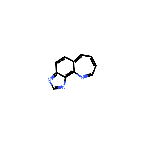 c1ccc2ccc3ncnc3c2nc1